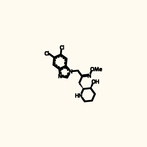 CO/N=C(/C[C@H]1NCCC[C@@H]1O)Cn1cnc2cc(Cl)c(Cl)cc21